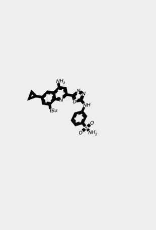 CC(C)(C)c1cc(C2CC2)cc2c(N)cc(-c3nnc(Nc4cccc(S(N)(=O)=O)c4)o3)nc12